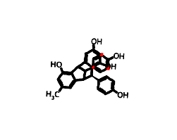 Cc1cc(O)c2c(c1)C1C(c3ccc(O)cc3)C2c2cc(O)cc(O)c2[C@H]1c1ccc(O)cc1